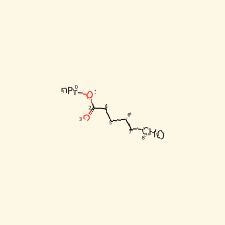 CCCOC(=O)CCCCC=O